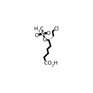 CS(=O)(=O)O[C@H](CCCl)CCCCC(=O)O